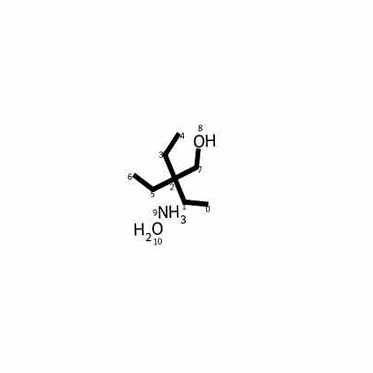 CCC(CC)(CC)CO.N.O